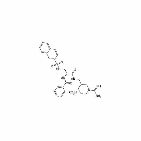 N=C(N)N1CCCC(CNC(=O)[C@H](CNS(=O)(=O)c2ccc3ccccc3c2)NC(=O)c2ccccc2C(=O)O)C1